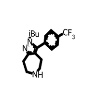 CCC(C)n1nc2c(c1-c1ccc(C(F)(F)F)cc1)CCNCC2